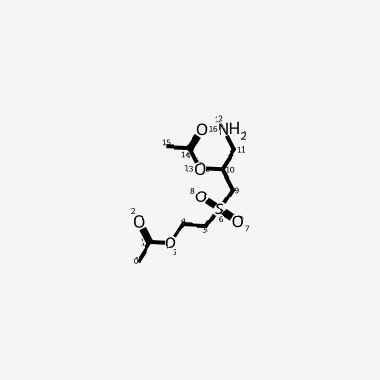 CC(=O)OCCS(=O)(=O)CC(CN)OC(C)=O